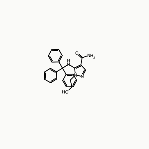 NC(=O)c1cnn(CCO)c1NC(c1ccccc1)(c1ccccc1)c1ccccc1